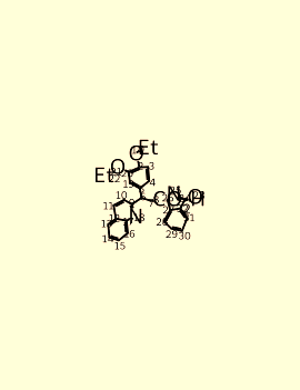 CCOc1ccc(C(CC(=O)O)c2ccc3ccccc3n2)cc1OCC.O=C1N=Cc2ccccc21